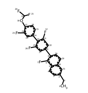 CCc1ccc2c(F)c(-c3cc(F)c(-c4ccc(OC(F)F)c(F)c4)c(F)c3)ccc2c1